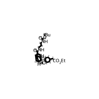 CCOC(=O)CC1CCC2(CC1)OOC1(O2)[C@@H]2CC3C[C@H]1CC(C(=O)NCCCNC(=O)OC(C)(C)C)(C3)C2